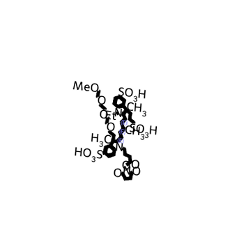 CC[N+]1=C(/C=C/C(C)=C/C=C2/N(CCCC(=O)ON3C(=O)CCC3=O)c3ccc(S(=O)(=O)O)cc3C2(C)CCOCCOCCOCCOC)C(C)(CCCS(=O)(=O)O)c2cc(S(=O)(=O)O)ccc21